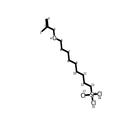 C=C(C)COCCCCCCCCC[Si](Cl)(Cl)Cl